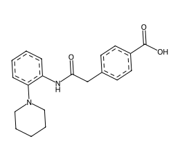 O=C(Cc1ccc(C(=O)O)cc1)Nc1ccccc1N1CCCCC1